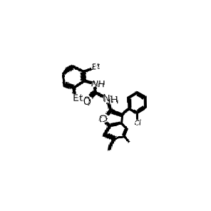 CCc1cccc(CC)c1NC(=O)Nc1oc2cc(C)c(C)cc2c1-c1ccccc1Cl